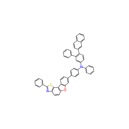 c1ccc(-c2nc3ccc4oc5cc(-c6ccc(N(c7ccccc7)c7ccc(-c8ccc9ccccc9c8)c(-c8ccccc8)c7)cc6)ccc5c4c3s2)cc1